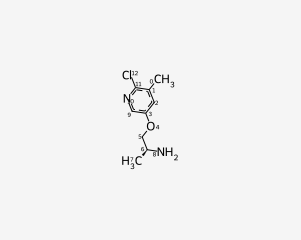 Cc1cc(OC[C@H](C)N)cnc1Cl